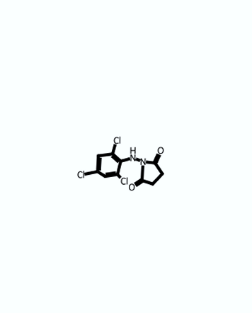 O=C1CCC(=O)N1Nc1c(Cl)cc(Cl)cc1Cl